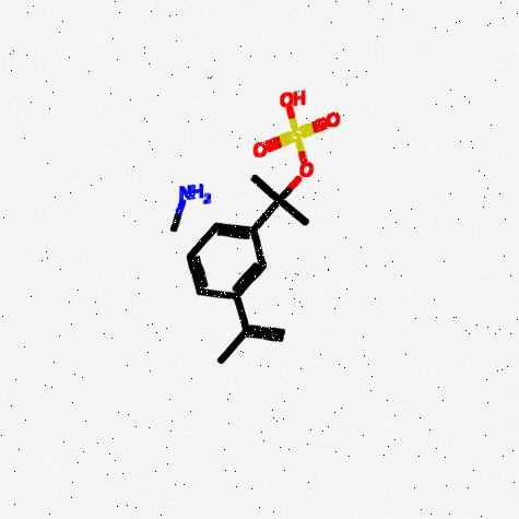 C=C(C)c1cccc(C(C)(C)OS(=O)(=O)O)c1.CN